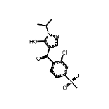 CC(C)n1ncc(C(=O)c2ccc(S(C)(=O)=O)cc2Cl)c1O